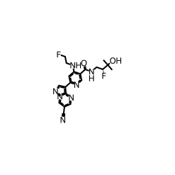 CC(C)(O)[C@H](F)CNC(=O)c1cnc(-c2cnn3cc(C#N)cnc23)cc1NCCF